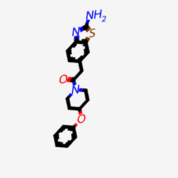 Nc1nc2ccc(CC(=O)N3CCC(Oc4ccccc4)CC3)cc2s1